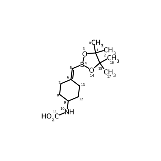 CC1(C)OB(C=C2CCC(NC(=O)O)CC2)OC1(C)C